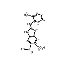 CCN(CC)c1cc2[nH]c(Nc3ncccc3C)nc2cc1C(=O)O